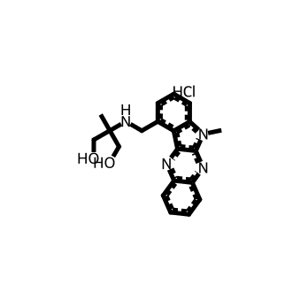 Cl.Cn1c2cccc(CNC(C)(CO)CO)c2c2nc3ccccc3nc21